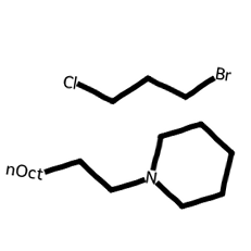 CCCCCCCCCCN1CCCCC1.ClCCCBr